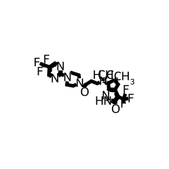 CN(CCC(=O)N1CCN(c2ncc(C(F)(F)F)cn2)CC1)C1c2n[nH]c(=O)c(C(F)(F)F)c2CC1(C)C